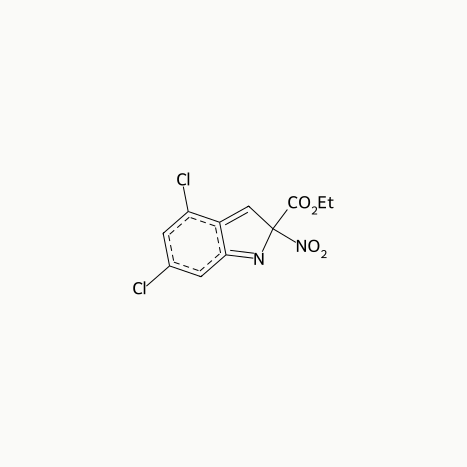 CCOC(=O)C1([N+](=O)[O-])C=c2c(Cl)cc(Cl)cc2=N1